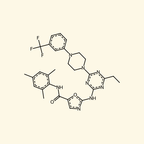 CCc1nc(Nc2ncc(C(=O)Nc3c(C)cc(C)cc3C)o2)nc(N2CCN(c3cccc(C(F)(F)F)c3)CC2)n1